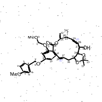 COCOc1cc(OCc2ccc(OC)cc2)cc2c1C(=O)OC(C)[C@H](C)/C=C\C(O)C1OC(C)(C)OC1C/C=C/2